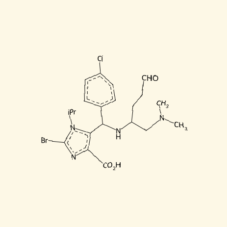 CC(C)n1c(Br)nc(C(=O)O)c1C(NC(CCC=O)CN(C)C)c1ccc(Cl)cc1